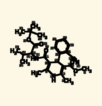 COC(=O)C1=C(C)NC(C)=C(C(=O)N[C@H](C(=O)OC(C)(C)C)C(C)C)C1c1ccccc1C#N